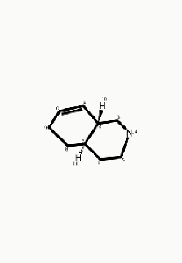 C1=C[C@@H]2C[N]CC[C@H]2CC1